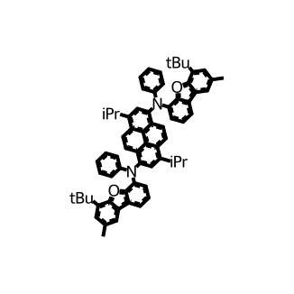 Cc1cc(C(C)(C)C)c2oc3c(N(c4ccccc4)c4cc(C(C)C)c5ccc6c(N(c7ccccc7)c7cccc8c7oc7c(C(C)(C)C)cc(C)cc78)cc(C(C)C)c7ccc4c5c76)cccc3c2c1